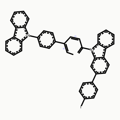 C=C(/C=C\C(=C/C)c1ccc(-n2c3ccccc3c3ccccc32)cc1)n1c2ccccc2c2ccc(-c3ccc(I)cc3)cc21